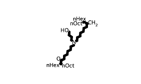 C=C(CCCCCCCN(CCCCO)CCCCCCCC(=O)C(CCCCCC)CCCCCCCC)C(CCCCCC)CCCCCCCC